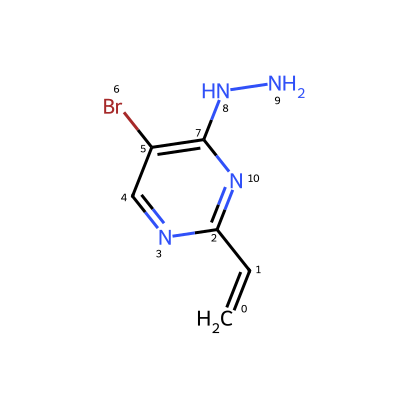 C=Cc1ncc(Br)c(NN)n1